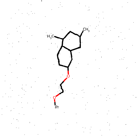 CC1CC(C)C2CCC(OCCOC(C)C)CC2C1